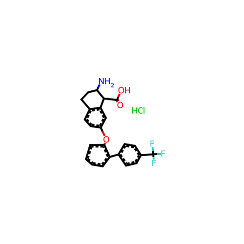 Cl.NC1CCc2ccc(Oc3ccccc3-c3ccc(C(F)(F)F)cc3)cc2C1C(=O)O